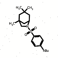 CCCCc1ccc(S(=O)(=O)N2CC3(C)CC2CC(C)(C)C3)cc1